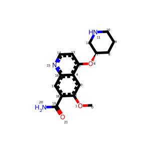 COc1cc2c(O[C@@H]3CCCNC3)ccnc2cc1C(N)=O